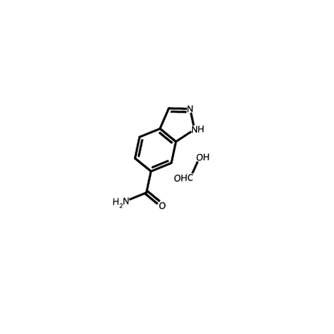 NC(=O)c1ccc2cn[nH]c2c1.O=CO